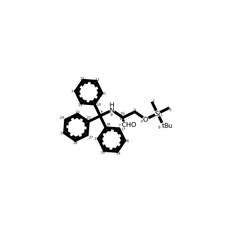 CC(C)(C)[Si](C)(C)OC[C@@H](C=O)NC(c1ccccc1)(c1ccccc1)c1ccccc1